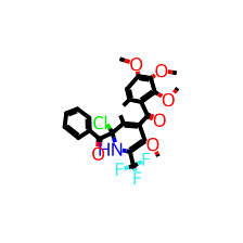 COC1=C(C(F)(F)F)NC(Cl)(C(=O)c2ccccc2)C(C)=C1C(=O)c1c(C)cc(OC)c(OC)c1OC